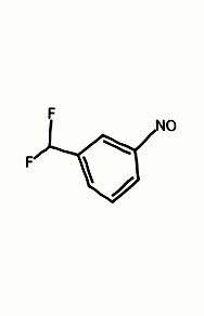 O=Nc1cccc(C(F)F)c1